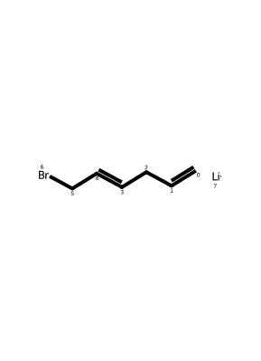 C=CCC=CCBr.[Li]